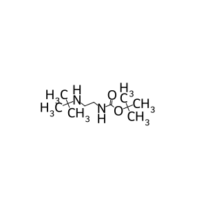 CC(C)(C)NCCNC(=O)OC(C)(C)C